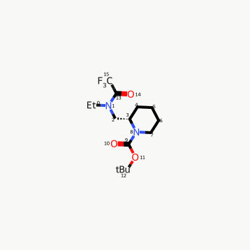 CCN(C[C@@H]1CCCCN1C(=O)OC(C)(C)C)C(=O)C(F)(F)F